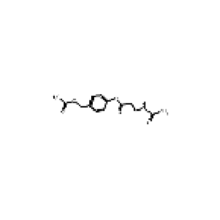 CC(=O)NCCC(=O)Oc1ccc(COC(C)=O)cc1